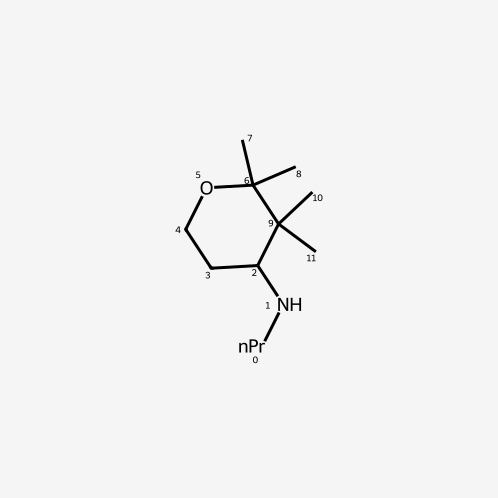 CCCNC1CCOC(C)(C)C1(C)C